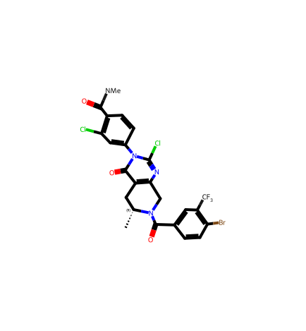 CNC(=O)c1ccc(-n2c(Cl)nc3c(c2=O)C[C@@H](C)N(C(=O)c2ccc(Br)c(C(F)(F)F)c2)C3)cc1Cl